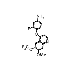 COc1cc2nccc(Oc3ccc(N)cc3F)c2cc1OC(F)(F)F